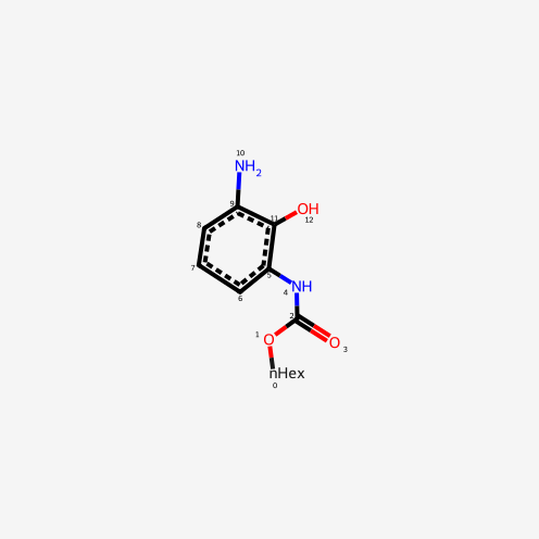 CCCCCCOC(=O)Nc1cccc(N)c1O